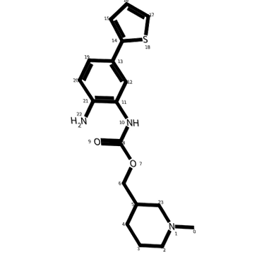 CN1CCCC(COC(=O)Nc2cc(-c3cccs3)ccc2N)C1